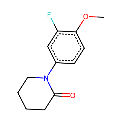 COc1ccc(N2CCCCC2=O)cc1F